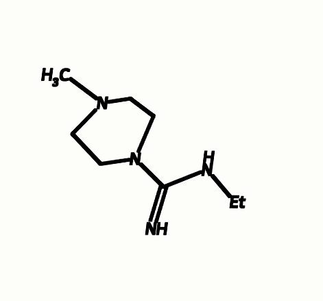 CCNC(=N)N1CCN(C)CC1